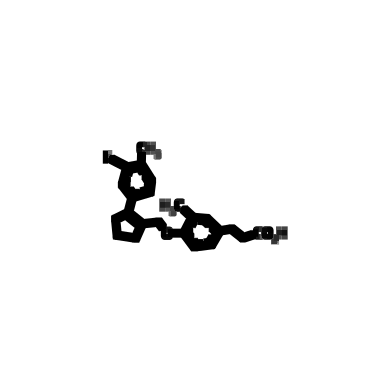 Cc1ccc(C2=C(COc3ccc(CCC(=O)O)cc3C)CCC2)cc1F